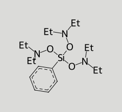 CCN(CC)O[Si](ON(CC)CC)(ON(CC)CC)c1ccccc1